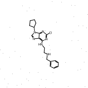 Clc1nc(NCCNCc2ccccc2)c2ncn(C3CCCC3)c2n1